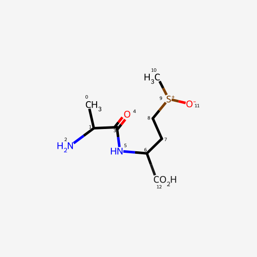 CC(N)C(=O)NC(CC[S+](C)[O-])C(=O)O